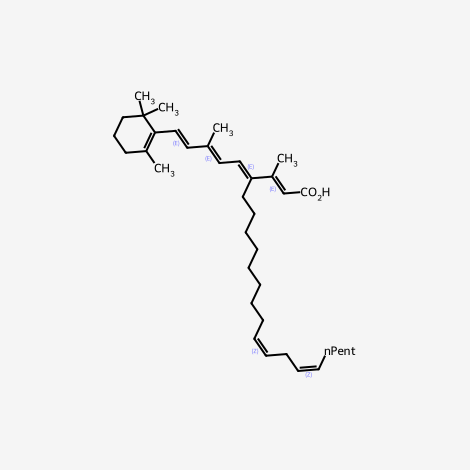 CCCCC/C=C\C/C=C\CCCCCCCCC(=C\C=C(C)\C=C\C1=C(C)CCCC1(C)C)/C(C)=C/C(=O)O